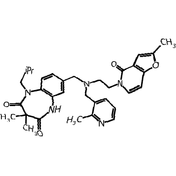 Cc1cc2c(=O)n(CCN(Cc3ccc4c(c3)NC(=O)C(C)(C)C(=O)N4CC(C)C)Cc3cccnc3C)ccc2o1